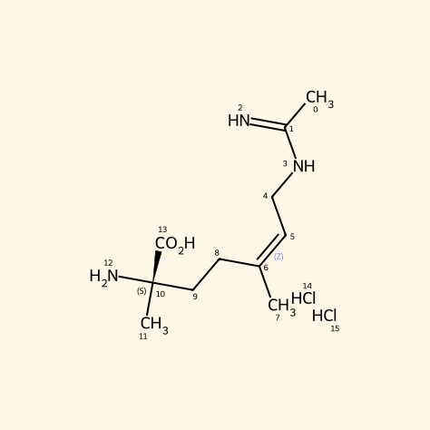 CC(=N)NC/C=C(/C)CC[C@](C)(N)C(=O)O.Cl.Cl